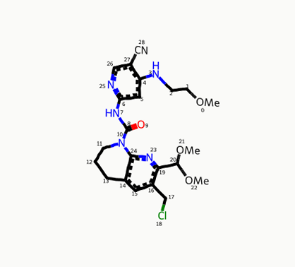 COCCNc1cc(NC(=O)N2CCCc3cc(CCl)c(C(OC)OC)nc32)ncc1C#N